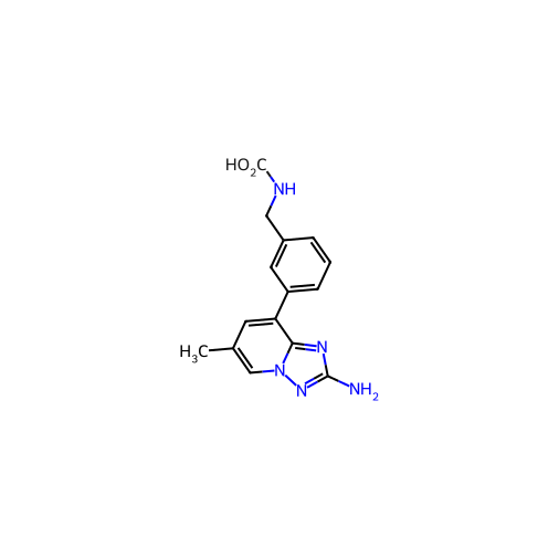 Cc1cc(-c2cccc(CNC(=O)O)c2)c2nc(N)nn2c1